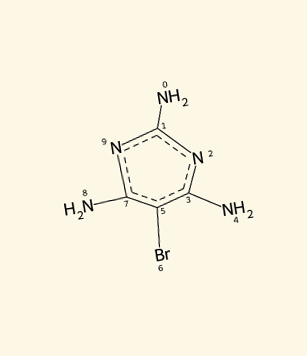 Nc1nc(N)c(Br)c(N)n1